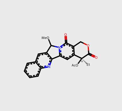 CC[C@@]1(OC(C)=O)C(=O)OCc2c1cc1n(c2=O)C(OC)c2cc3ccccc3nc2-1